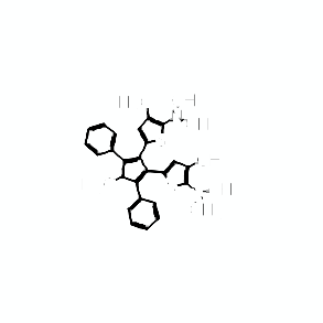 Cc1cc(C2=C(c3ccccc3)C(C)C(c3ccccc3)=C2c2cc(C)c(N(C)C)s2)sc1N(C)C